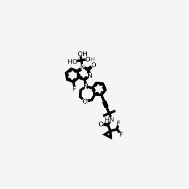 CC(C)(C#Cc1cccc2c1COCCN2c1nc(=O)n(C(O)(O)O)c2cccc(F)c12)NC(=O)C1(C(F)F)CC1